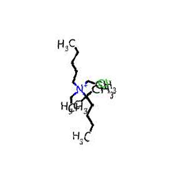 CCCCC[N+](CC)(CC)C(C)(C)CCCC.[Cl-]